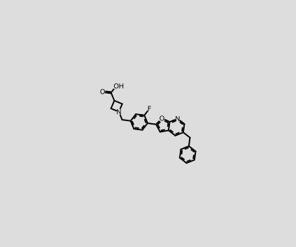 O=C(O)C1CN(Cc2ccc(-c3cc4cc(Cc5ccccc5)cnc4o3)c(F)c2)C1